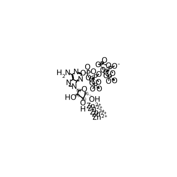 Nc1ncnc2c1ncn2[C@@H]1O[C@H](CO)[C@@H](O)[C@H]1O.O=P([O-])([O-])OP(=O)([O-])OP(=O)([O-])[O-].O=P([O-])([O-])OP(=O)([O-])OP(=O)([O-])[O-].[Zn+2].[Zn+2].[Zn+2].[Zn+2].[Zn+2]